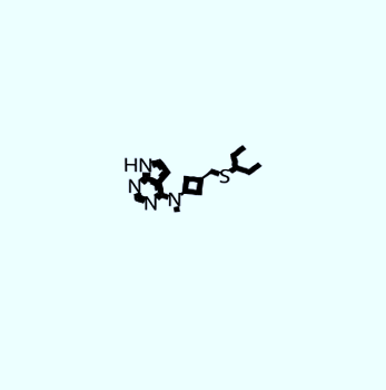 CCC(CC)SC[C@H]1C[C@@H](N(C)c2ncnc3[nH]ccc23)C1